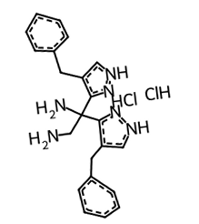 Cl.Cl.NCC(N)(c1n[nH]cc1Cc1ccccc1)c1n[nH]cc1Cc1ccccc1